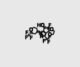 O[C@H]1c2c(c(C(F)(F)F)nn2[C@H]2CCO[C@@H](C(F)(F)F)C2)C2(OCCO2)[C@@H]1F